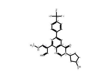 CN/C=C(\C=N)c1nc(-c2ccc(C(F)(F)F)cc2)cc2c(=O)n(C3CCC(O)C3)cnc12